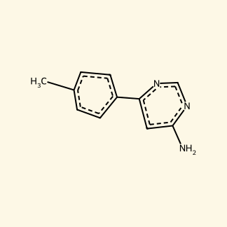 Cc1ccc(-c2cc(N)ncn2)cc1